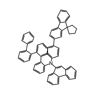 c1ccc(-c2ccccc2-c2ccccc2-c2ccccc2N(c2ccc(-c3ccc4c(c3)C3(CCCC3)c3ccccc3-4)cc2)c2cc3ccccc3c3ccccc23)cc1